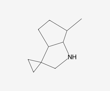 CC1CCC2C1NCC21CC1